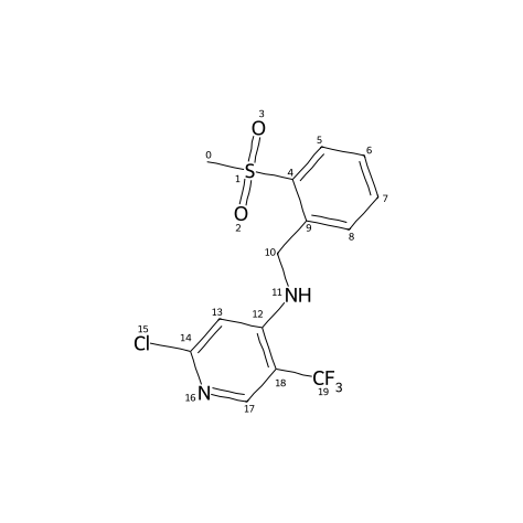 CS(=O)(=O)c1ccccc1CNc1cc(Cl)ncc1C(F)(F)F